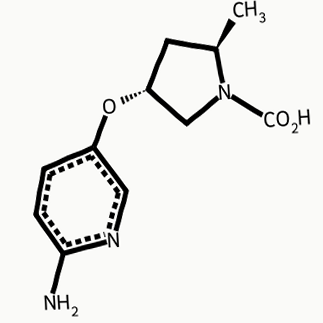 C[C@@H]1C[C@@H](Oc2ccc(N)nc2)CN1C(=O)O